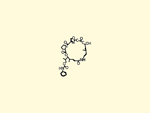 CC1=C\C(O)CC(=O)Cc2nc(co2)C(=O)N2CCCC2C(=O)OC(C(C)COC(=O)Nc2ccccc2)C(C)/C=C/C(=O)NC\C=C\1